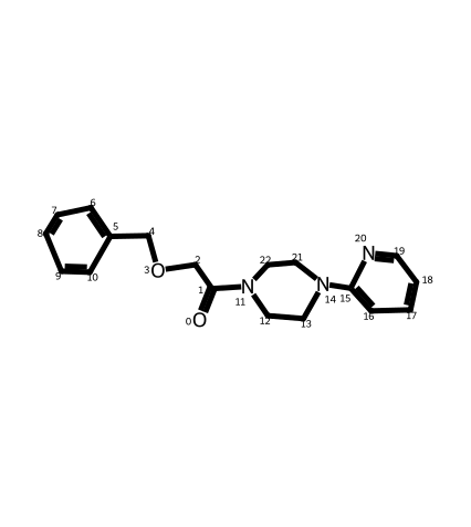 O=C(COCc1ccccc1)N1CCN(c2ccccn2)CC1